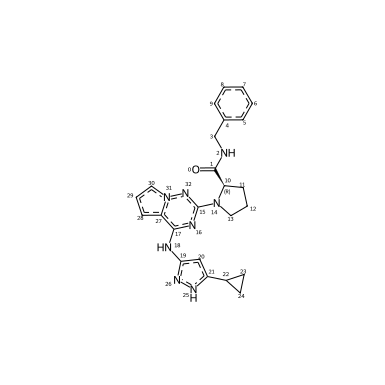 O=C(NCc1ccccc1)[C@H]1CCCN1c1nc(Nc2cc(C3CC3)[nH]n2)c2cccn2n1